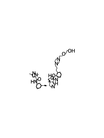 Cc1cc(C(=O)Nc2cccc(C#C[C@H]3C=NC=C(C(=O)Nc4cccc(CCCN5CCN(CCOCCO)CC5)c4O)C3=S)c2)n(C)n1